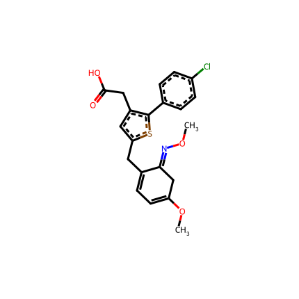 CON=C1CC(OC)=CC=C1Cc1cc(CC(=O)O)c(-c2ccc(Cl)cc2)s1